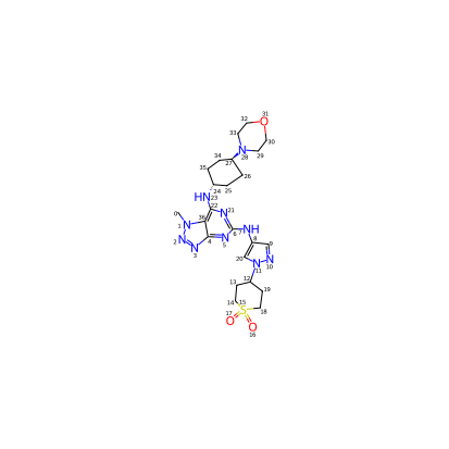 Cn1nnc2nc(Nc3cnn(C4CCS(=O)(=O)CC4)c3)nc(N[C@H]3CC[C@H](N4CCOCC4)CC3)c21